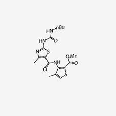 CCCCNC(=O)Nc1nc(C)c(C(=O)Nc2c(C)csc2C(=O)OC)s1